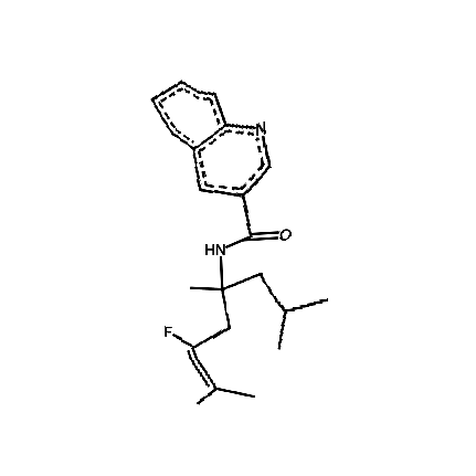 CC(C)=C(F)CC(C)(CC(C)C)NC(=O)c1cnc2ccccc2c1